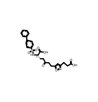 O=C(O)CCc1cc(CCC(=O)CC[C@H](NS(=O)(=O)c2ccc(-c3ccccc3)cc2)C(=O)O)on1